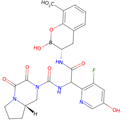 O=C(O)c1cccc2c1OB(O)[C@@H](NC(=O)C(NC(=O)N1C[C@@H]3CCCN3C(=O)C1=O)c1ncc(O)cc1F)C2